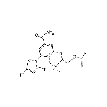 C[C@@H]1Cc2c(-c3ccc(F)cc3F)cc(C(N)=O)nc2OC1COC(F)F